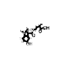 CC(=CCNC(=O)c1c(C)n(C)c2ccc(O)cc12)C(=O)O